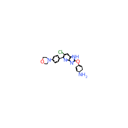 NC1C=CC(Oc2nc3nc(-c4ccc(N5CCOCC5)cc4)c(Cl)cc3[nH]2)=CC1